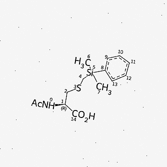 CC(=O)N[C@@H](CSC[Si](C)(C)c1ccccc1)C(=O)O